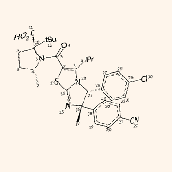 CC(C)C1=C(C(=O)N2[C@H](C)CC[C@]2(C(=O)O)C(C)(C)C)SC2=N[C@@](C)(c3ccc(C#N)cc3)[C@@H](c3ccc(Cl)cc3)N21